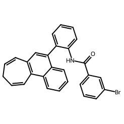 O=C(Nc1ccccc1-c1cc2c(c3ccccc13)C=CCC=C2)c1cccc(Br)c1